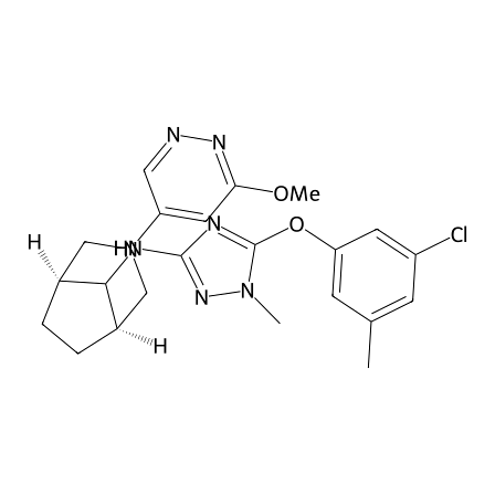 COc1cc(N2C[C@H]3CC[C@@H](C2)C3Nc2nc(Oc3cc(C)cc(Cl)c3)n(C)n2)cnn1